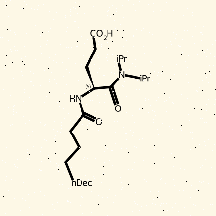 CCCCCCCCCCCCCC(=O)N[C@@H](CCC(=O)O)C(=O)N(C(C)C)C(C)C